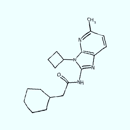 Cc1ccc2nc(NC(=O)CC3CCCCC3)n(C3CCC3)c2n1